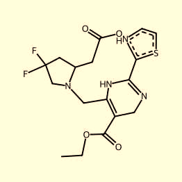 CCOC(=O)C1=C(CN2CC(F)(F)CC2CC(=O)O)NC(c2nccs2)=NC1